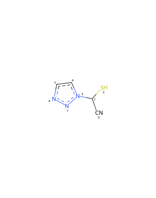 N#CC(S)n1ccnn1